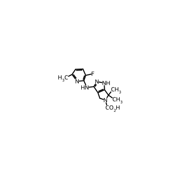 Cc1ccc(F)c(Nc2n[nH]c3c2CN(C(=O)O)C3(C)C)n1